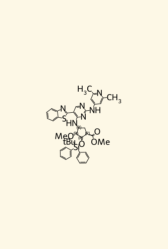 COC(=O)[C@@H]1C[C@@H](Nc2nc(Nc3cc(C)nc(C)c3)ncc2-c2nc3ccccc3s2)[C@@H](OC)[C@@H]1O[Si](c1ccccc1)(c1ccccc1)C(C)(C)C